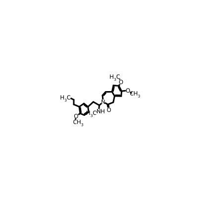 CCCc1cc(CC(NC)N2C=Cc3cc(OC)c(OC)cc3CC2=O)ccc1OC